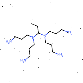 CCC(N(CCCN)CCCN)N(CCCN)CCCN